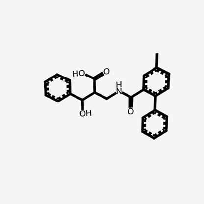 Cc1ccc(-c2ccccc2)c(C(=O)NCC(C(=O)O)C(O)c2ccccc2)c1